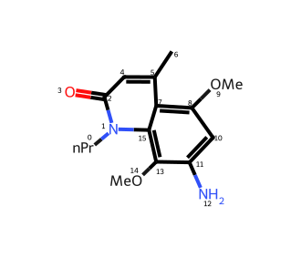 CCCn1c(=O)cc(C)c2c(OC)cc(N)c(OC)c21